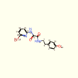 COc1ccc(CCNC(=O)C(=O)Nc2cccc(Br)n2)cc1